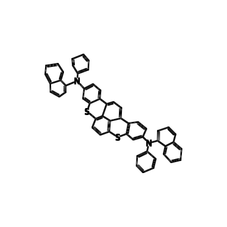 c1ccc(N(c2ccc3c(c2)Sc2ccc4c5c(ccc-3c25)-c2ccc(N(c3ccccc3)c3cccc5ccccc35)cc2S4)c2cccc3ccccc23)cc1